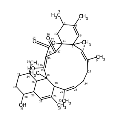 CC1=CC2(C)C=C(C)C(C)CC23OC(=O)C(=C(O)C2(C)C(C(C)=CCC1)C(C)=CC1C(O)CCC(C)C12)C3=O